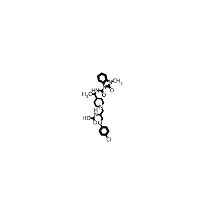 CC(NC(=O)n1c(=O)n(C)c2ccccc21)C1CCN(CC(COc2ccc(Cl)cc2)NC(=O)O)CC1